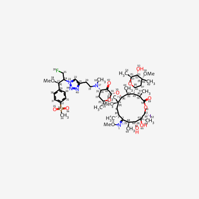 CO/N=C1\[C@H](C)C[C@@](C)(OC)[C@H](O[C@@H]2O[C@H](C)C[C@H](N(C)CCc3cn(C(CF)[C@H](OC)c4ccc(S(C)(=O)=O)cc4)nn3)C2=O)[C@@H](C)C([C@H]2C[C@@](C)(OC)[C@@H](O)[C@H](C)O2)[C@@H](C)C(=O)O[C@H](I)[C@@](C)(O)[C@H](O)[C@H]1C